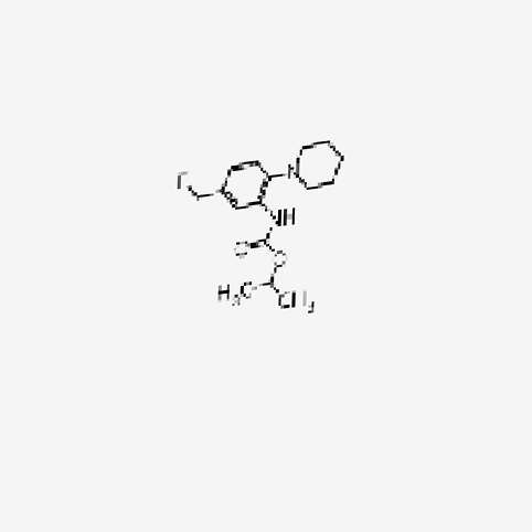 CC(C)OC(=O)Nc1cc(CF)ccc1N1CCCCC1